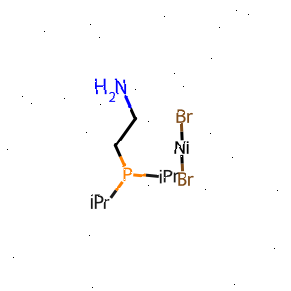 CC(C)P(CCN)C(C)C.[Br][Ni][Br]